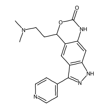 CN(C)CCC1OC(=O)Nc2cc3[nH]nc(-c4ccncc4)c3cc21